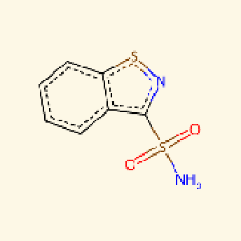 NS(=O)(=O)c1nsc2ccccc12